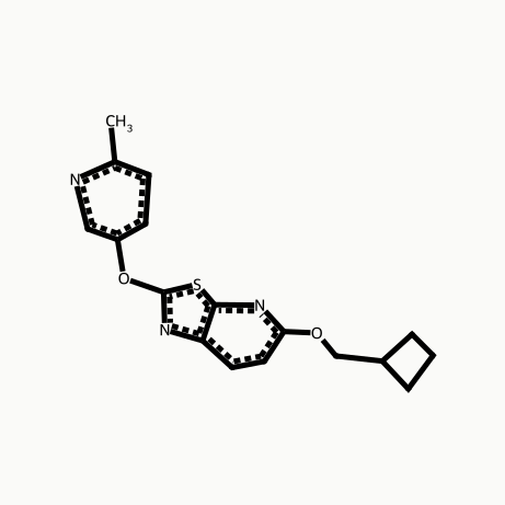 Cc1ccc(Oc2nc3ccc(OCC4CCC4)nc3s2)cn1